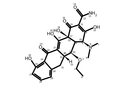 CCO[C@@H]1C2[C@H](N(C)C)C(O)=C(C(N)=O)C(=O)[C@@]2(O)C(O)=C2C(=O)c3c(O)cccc3C[C@H]21